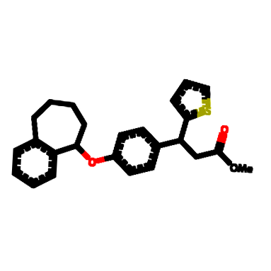 COC(=O)CC(c1ccc(OC2CCCCc3ccccc32)cc1)c1cccs1